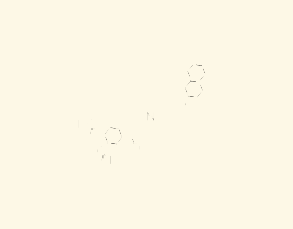 COc1ccc(C(=O)C2CCN(CCCOc3ccc4ccccc4c3)CC2)cc1OC